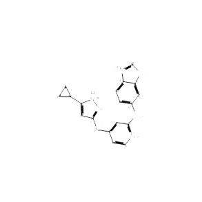 c1cc(Nc2cc(C3CC3)[nH]n2)cc(Sc2ccc3ncsc3c2)n1